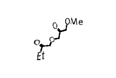 CCC(=O)COCC(=O)COC